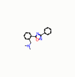 CN(C)Cc1ccccc1-c1nc(-c2ccccc2)no1